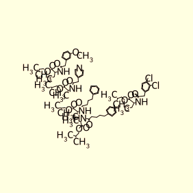 CC(C)COC(=O)C(C)NC(=O)CCCCc1ccccc1.CC(C)COC(=O)C(C)NC(=O)CCCc1ccccc1.CC(C)COC(=O)C(C)NC(=O)Cc1ccncc1.CCC(NC(=O)Cc1ccc(Cl)c(Cl)c1)C(=O)OCC(C)C.CCC(NC(=O)Cc1cccc(OC)c1)C(=O)OCC(C)C